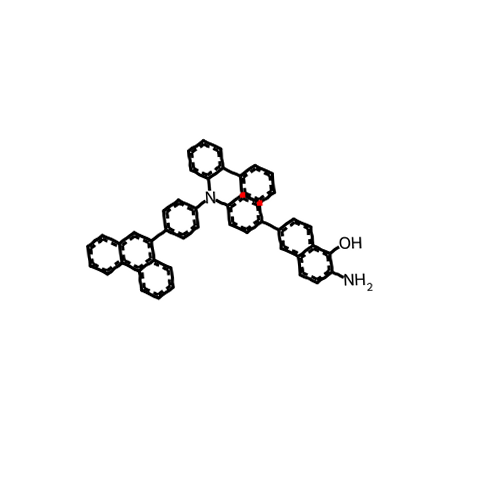 Nc1ccc2cc(-c3ccc(N(c4ccc(-c5cc6ccccc6c6ccccc56)cc4)c4ccccc4-c4ccccc4)cc3)ccc2c1O